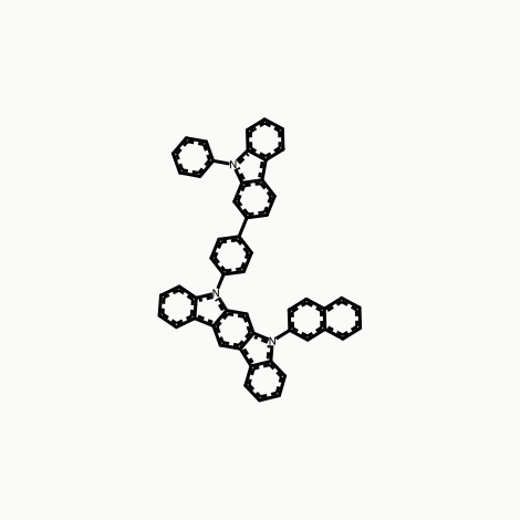 c1ccc(-n2c3ccccc3c3ccc(-c4ccc(-n5c6ccccc6c6cc7c8ccccc8n(-c8ccc9ccccc9c8)c7cc65)cc4)cc32)cc1